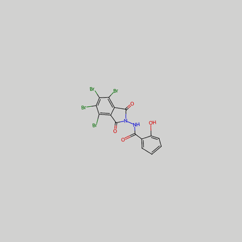 O=C(NN1C(=O)c2c(Br)c(Br)c(Br)c(Br)c2C1=O)c1ccccc1O